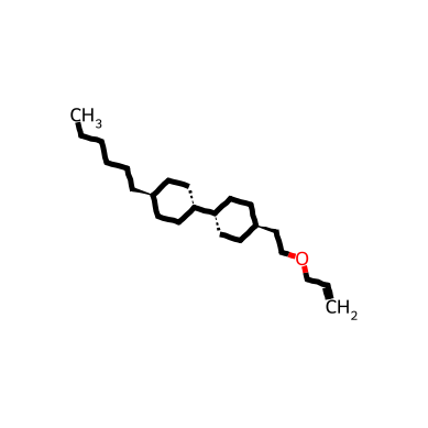 C=CCOCC[C@H]1CC[C@H]([C@H]2CC[C@H](CCCCCC)CC2)CC1